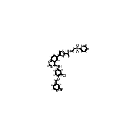 CC(NCCS(=O)(=O)c1ccccn1)c1nc(-c2ccc3ncnc(Nc4ccc(OCc5cccc(F)c5)c(Cl)c4)c3c2)cs1